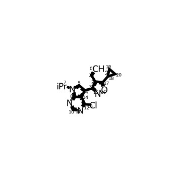 C=Cc1c(-c2cn(C(C)C)c3ncnc(Cl)c23)noc1C1CC1